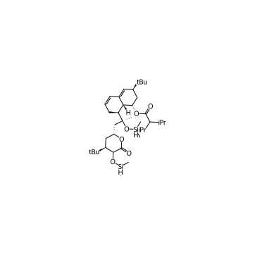 CC(C)C(C(=O)O[C@H]1C[C@H](C(C)(C)C)C=C2C=CC[C@H]([C@](C)(C[C@H]3C[C@H](C(C)(C)C)C(O[SiH](C)C)C(=O)O3)O[SiH](C)C)[C@H]21)C(C)C